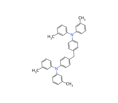 Cc1cccc(N(c2ccc(Cc3ccc(N(c4cccc(C)c4)c4cccc(C)c4)cc3)cc2)c2cccc(C)c2)c1